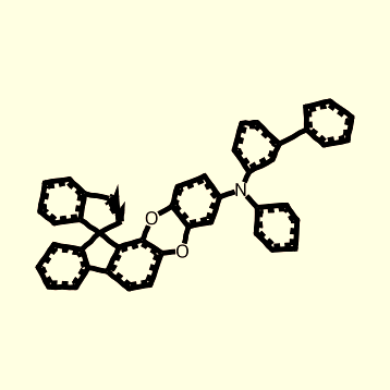 c1ccc(-c2cccc(N(c3ccccc3)c3ccc4c(c3)Oc3ccc5c(c3O4)C3(c4ccccc4-c4ccccc43)c3ccccc3-5)c2)cc1